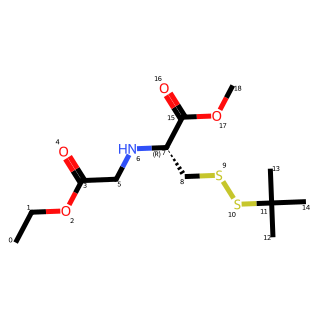 CCOC(=O)CN[C@@H](CSSC(C)(C)C)C(=O)OC